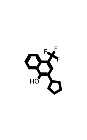 Oc1c(C2CCCC2)cc(C(F)(F)F)c2ccccc12